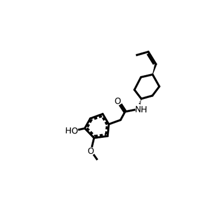 C/C=C\[C@H]1CC[C@H](NC(=O)Cc2ccc(O)c(OC)c2)CC1